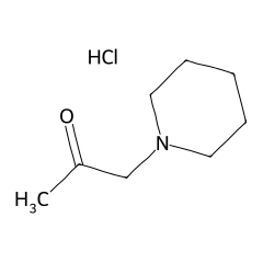 CC(=O)CN1CCCCC1.Cl